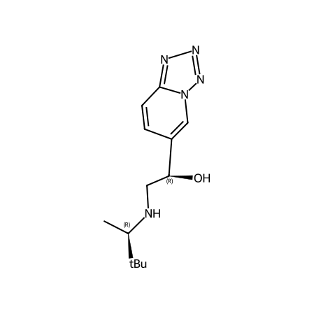 C[C@@H](NC[C@H](O)c1ccc2nnnn2c1)C(C)(C)C